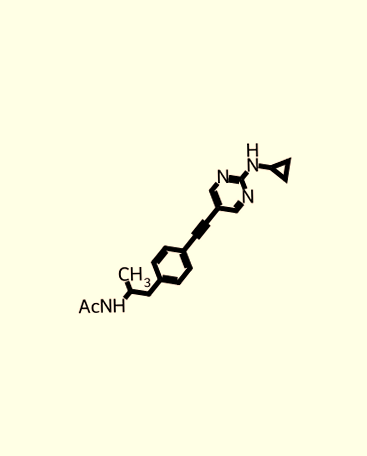 CC(=O)NC(C)Cc1ccc(C#Cc2cnc(NC3CC3)nc2)cc1